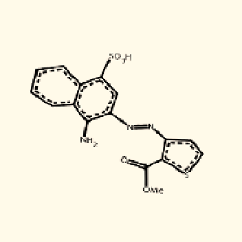 COC(=O)c1sccc1/N=N/c1cc(S(=O)(=O)O)c2ccccc2c1N